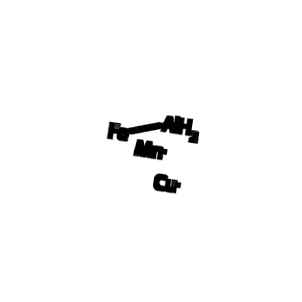 [AlH2][Fe].[Cu].[Mn]